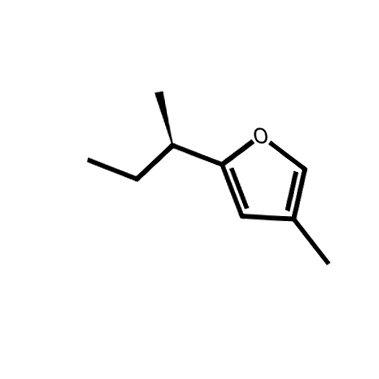 CC[C@@H](C)c1cc(C)co1